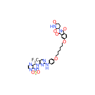 CN(c1nccnc1CNc1nc(Nc2ccc(OCCCCCCCOc3ccc4c(c3)C(=O)N(C3CCC(=O)NC3=O)C4=O)cc2)ncc1C(F)(F)F)S(C)(=O)=O